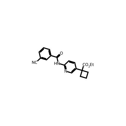 CCOC(=O)C1(c2ccc(NC(=O)c3cccc(C#N)c3)nc2)CCC1